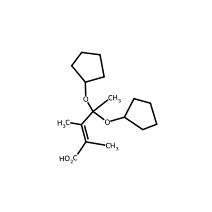 CC(C(=O)O)=C(C)C(C)(OC1CCCC1)OC1CCCC1